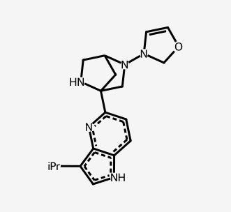 CC(C)c1c[nH]c2ccc(C34CC(CN3)N(N3C=COC3)C4)nc12